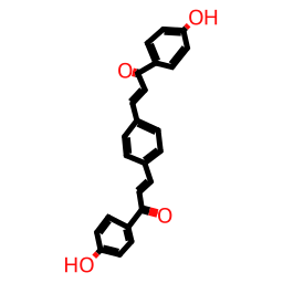 O=C(C=Cc1ccc(/C=C/C(=O)c2ccc(O)cc2)cc1)c1ccc(O)cc1